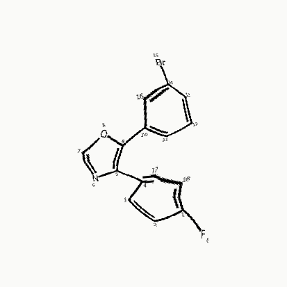 Fc1ccc(-c2ncoc2-c2cccc(Br)c2)cc1